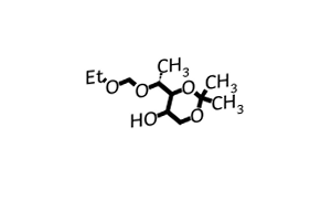 CCOCO[C@H](C)C1OC(C)(C)OCC1O